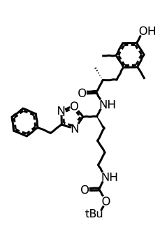 Cc1cc(O)cc(C)c1C[C@@H](C)C(=O)N[C@@H](CCCCNC(=O)OC(C)(C)C)c1nc(Cc2ccccc2)no1